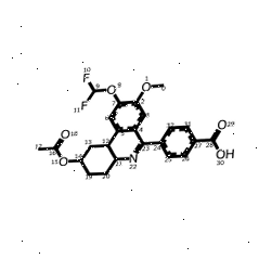 COc1cc2c(cc1OC(F)F)C1CC(OC(C)=O)CCC1N=C2c1ccc(C(=O)O)cc1